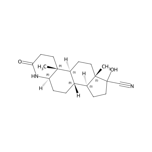 C[C@]12CCC(=O)N[C@@H]1CC[C@@H]1[C@@H]2CC[C@@]2(C)[C@H]1CCC2(O)C#N